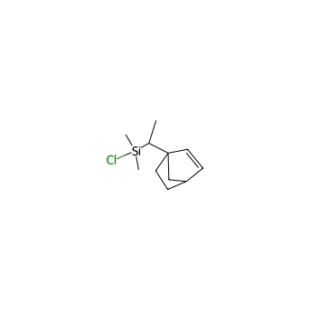 CC(C12C=CC(CC1)C2)[Si](C)(C)Cl